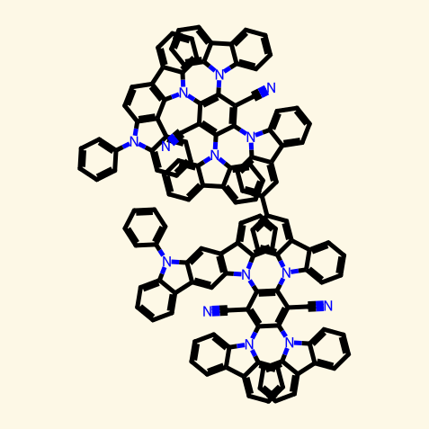 N#Cc1c(-n2c3ccccc3c3ccccc32)c(-n2c3ccccc3c3ccccc32)c(C#N)c(-n2c3ccccc3c3cc4c(cc32)c2ccccc2n4-c2ccccc2)c1-n1c2ccccc2c2cc(-c3ccc4c(c3)c3ccccc3n4-c3c(C#N)c(-n4c5ccccc5c5ccccc54)c(-n4c5ccccc5c5ccc6c(c7ccccc7n6-c6ccccc6)c54)c(C#N)c3-n3c4ccccc4c4ccccc43)ccc21